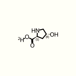 [2H]OC(=O)[C@@H]1C[C@@H](O)CN1